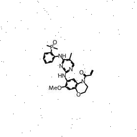 C=CC(=O)N1CCOc2cc(OC)c(Nc3ncc(C)c(Nc4ccccc4P(C)(C)=O)n3)cc21